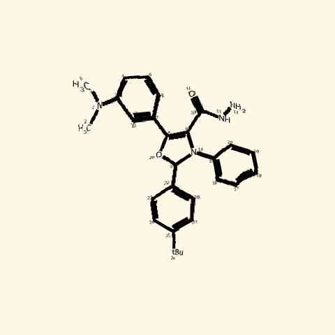 CN(C)c1cccc(C2=C(C(=O)NN)N(c3ccccc3)C(c3ccc(C(C)(C)C)cc3)O2)c1